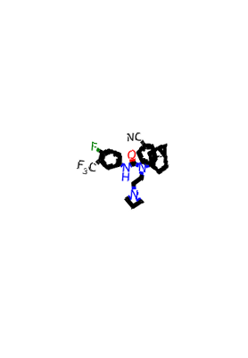 N#Cc1cccc([C@]23CC[C@@H](N(CCN4CCC4)C(=O)Nc4ccc(F)c(C(F)(F)F)c4)CC2C3)c1